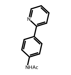 CC(=O)Nc1ccc(-c2ccccn2)cc1